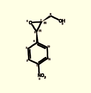 O=[N+]([O-])c1ccc([C@H]2O[C@@H]2CO)cc1